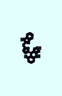 O=C1CCCC2=C1[C@H](c1ccc(Sc3nc4ccccc4[nH]3)o1)c1c[nH]nc1N2